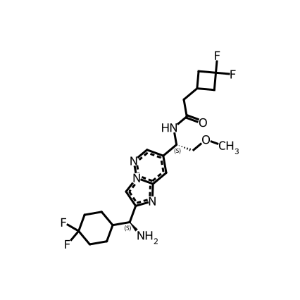 COC[C@@H](NC(=O)CC1CC(F)(F)C1)c1cnn2cc([C@@H](N)C3CCC(F)(F)CC3)nc2c1